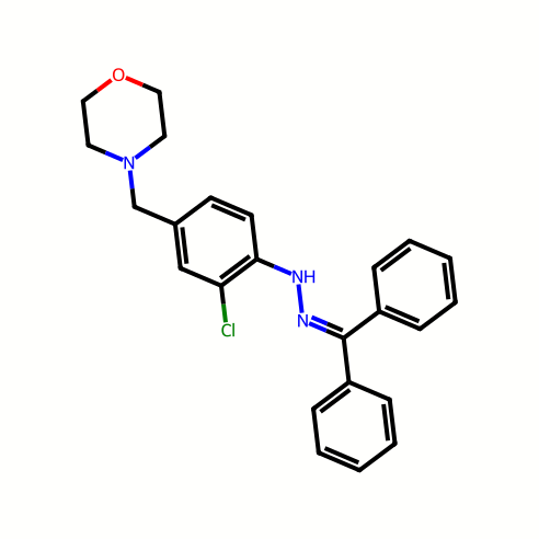 Clc1cc(CN2CCOCC2)ccc1NN=C(c1ccccc1)c1ccccc1